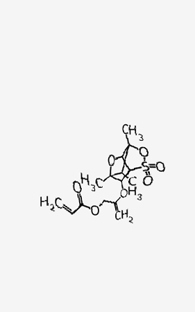 C=CC(=O)OCC(=C)OC1C2C3OC1(C)C(C)C3(C)OS2(=O)=O